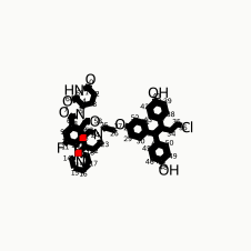 O=C1CCC(N2C(=O)c3cc(F)c(N4CC5CC(C4)N5CC4CCN(CCOc5ccc(C(=C(CCCl)c6ccc(O)cc6)c6ccc(O)cc6)cc5)CC4)cc3C2=O)C(=O)N1